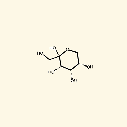 OC[C@@]1(O)OC[C@H](O)[C@H](O)[C@@H]1O